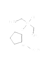 C1CCCC1.N[CH2][Pt]([Cl])([Cl])[CH2]N.O=S(=O)(O)O